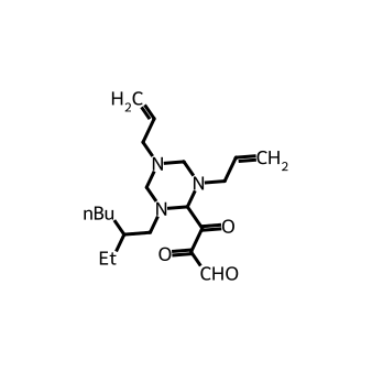 C=CCN1CN(CC=C)C(C(=O)C(=O)C=O)N(CC(CC)CCCC)C1